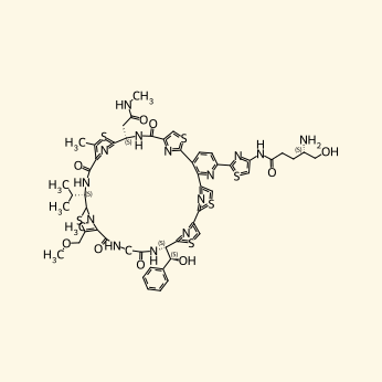 CNC(=O)C[C@@H]1NC(=O)c2csc(n2)-c2ccc(-c3nc(NC(=O)CC[C@H](N)CO)cs3)nc2-c2csc(n2)-c2csc(n2)[C@H]([C@@H](O)c2ccccc2)NC(=O)CNC(=O)C2=C(COC)SC([C@H](C(C)C)NC(=O)c3nc1sc3C)N2C